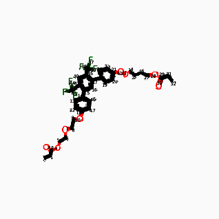 C=CC(=O)OCCOCCOc1ccc(-c2cc(-c3ccc(OOCCCCOC(=O)CC)cc3)c(C(F)(F)F)cc2C(F)(F)F)cc1